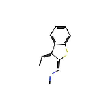 C/C=c1\c(=C/NC)sc2ccccc12